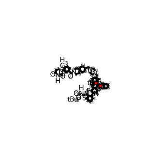 Cc1ccc(C(=O)N2CCC3(CCC(CN4CCN(CC5(COc6nc(N7CC8CCC(C7)N8C(=O)OC(C)(C)C)c7cnc(-c8cccc9sc(NC(=O)OC(C)(C)C)nc89)c(F)c7n6)CC5)CC4)CC3)CC2)cc1N1CCC(=O)NC1=O